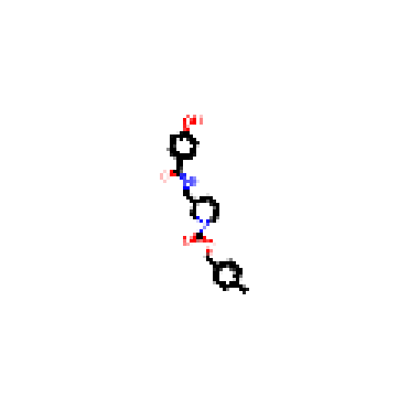 Cc1ccc(COC(=O)N2CCCC(CNC(=O)c3ccc(O)cc3)C2)cc1